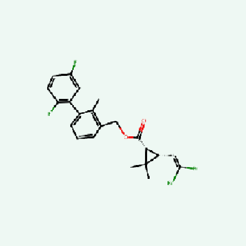 Cc1c(COC(=O)[C@@H]2[C@H](C=C(Br)Br)C2(C)C)cccc1-c1cc(F)ccc1F